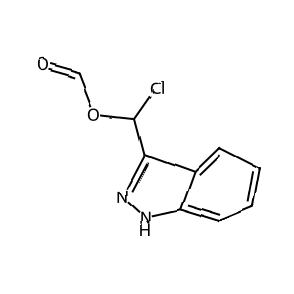 O=COC(Cl)c1n[nH]c2ccccc12